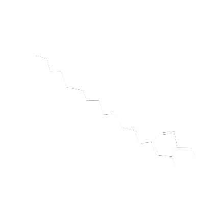 CCCCCCCCCCCC(=O)Oc1ccc(C=O)c(O)c1